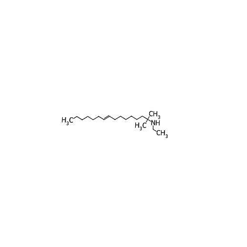 CCCCCCC=CCCCCCCC(C)(C)NCC